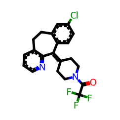 O=C(N1CCC(=C2c3ccc(Cl)cc3CCc3cccnc32)CC1)C(F)(F)F